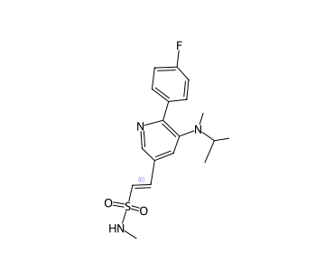 CNS(=O)(=O)/C=C/c1cnc(-c2ccc(F)cc2)c(N(C)C(C)C)c1